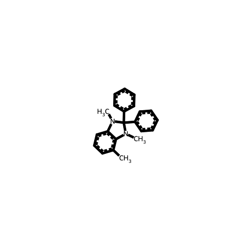 Cc1cccc2c1N(C)C(c1ccccc1)(c1ccccc1)N2C